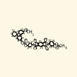 COc1ccc(C2(c3ccc(OC(=O)Oc4ccc(-n5c(=O)c6cc7c(=O)n(-c8ccc(OC(C)=O)cc8)c(=O)c7cc6c5=O)cc4)cc3)CCCCC2)cc1